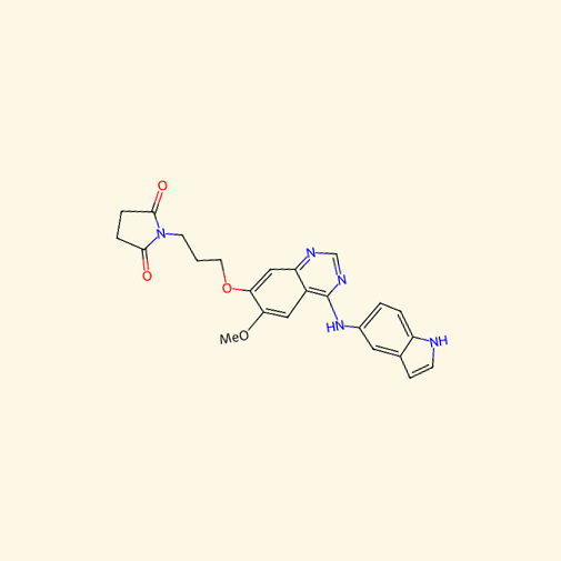 COc1cc2c(Nc3ccc4[nH]ccc4c3)ncnc2cc1OCCCN1C(=O)CCC1=O